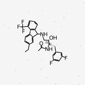 CCc1ccc2c(c1)C(NC[C@H](O)[C@H](Cc1cc(F)cc(F)c1)NC(C)=O)c1cccc(C(F)(F)F)c1-2